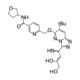 CC(C)(C)c1cc2nnc(C(=N)/C=C(\O)CO)n2nc1OCc1ccc(C(=O)NC2CCOC2)cn1